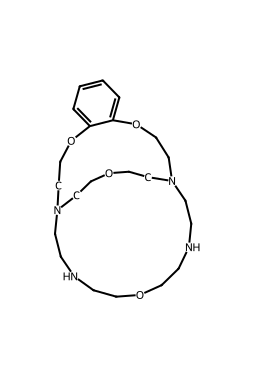 c1ccc2c(c1)OCCN1CCNCCOCCNCCN(CCOCC1)CCO2